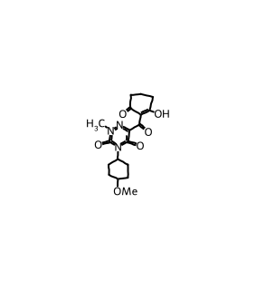 COC1CCC(n2c(=O)c(C(=O)C3=C(O)CCCC3=O)nn(C)c2=O)CC1